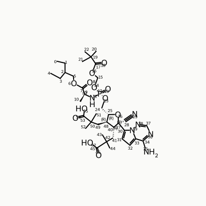 CCC(CC)COC(=O)[C@H](C)NP(=O)(OCOC(=O)C(C)(C)C)OC[C@@H]1O[C@@](C#N)(c2ccc3c(N)ncnn23)[C@H](CC(C)(C)C(=O)O)[C@H]1CC(C)(C)C(=O)O